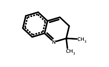 CC1(C)CC=c2ccccc2=N1